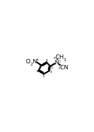 CN(C#N)c1cccc([N+](=O)[O-])c1